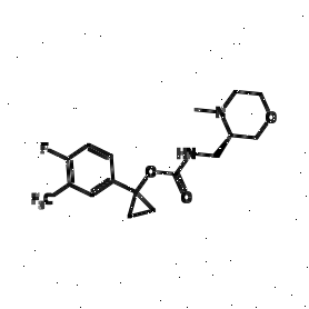 CN1CCOC[C@H]1CNC(=O)OC1(c2ccc(F)c(C(F)(F)F)c2)CC1